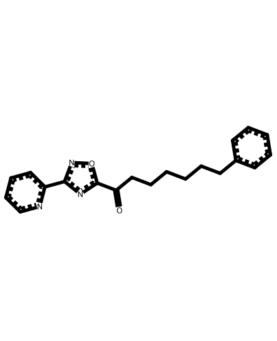 O=C(CCCCCCc1ccccc1)c1nc(-c2ccccn2)no1